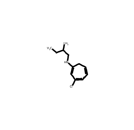 CCC(C)CNC1=CC(Cl)=CC=CC1